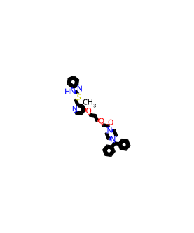 Cc1c(OCCCOCC(=O)N2CCN(C(c3ccccc3)c3ccccc3)CC2)ccnc1CSc1nc2ccccc2[nH]1